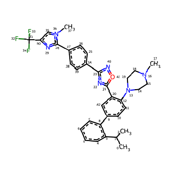 CC(C)c1ccccc1-c1ccc(N2CCN(C)CC2)c(-c2nc(-c3ccc(-c4nc(C(F)(F)F)cn4C)cc3)no2)c1